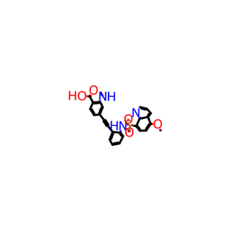 CNc1cc(C#Cc2ccccc2NS(=O)(=O)c2ccc(OC)c3cccnc23)ccc1C(=O)O